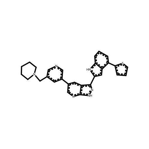 c1csc(-c2cccc3[nH]c(-c4n[nH]c5ncc(-c6cncc(CN7CCCCC7)c6)cc45)cc23)c1